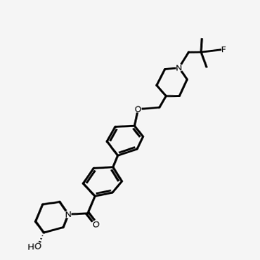 CC(C)(F)CN1CCC(COc2ccc(-c3ccc(C(=O)N4CCC[C@@H](O)C4)cc3)cc2)CC1